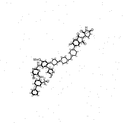 COc1cc(N2CCC(N3CCN(CN4CCN(c5cc6c(cc5F)C(=O)N(C5CCC(=O)NC5=O)C6=O)CC4)CC3)CC2)c(-c2cnn(C)c2)cc1Nc1ncc(Br)c(Nc2ccc(-c3ccccc3)cc2P(C)(C)=O)n1